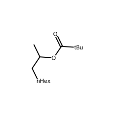 CCCCCCCC(C)OC(=O)C(C)(C)C